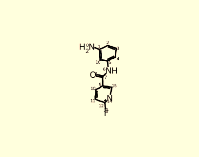 Nc1cccc(NC(=O)c2ccc(F)nc2)c1